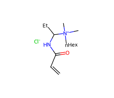 C=CC(=O)NC(CC)[N+](C)(C)CCCCCC.[Cl-]